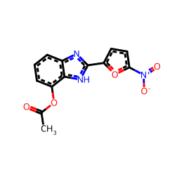 CC(=O)Oc1cccc2nc(-c3ccc([N+](=O)[O-])o3)[nH]c12